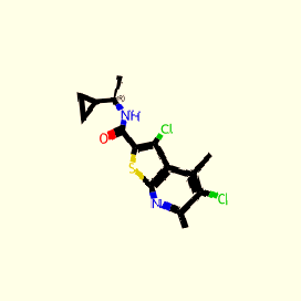 Cc1nc2sc(C(=O)N[C@H](C)C3CC3)c(Cl)c2c(C)c1Cl